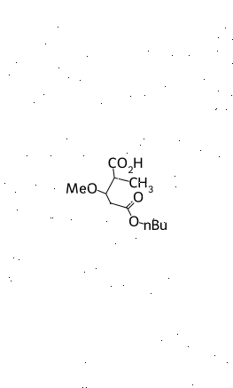 CCCCOC(=O)CC(OC)C(C)C(=O)O